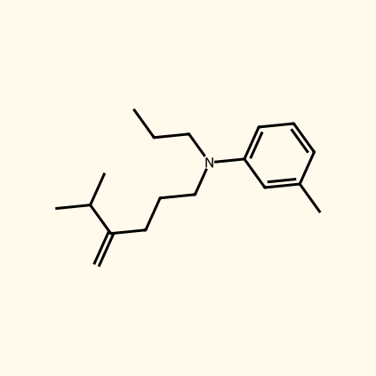 C=C(CCCN(CCC)c1cccc(C)c1)C(C)C